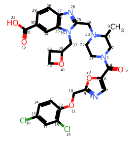 CC1CN(C(=O)c2cnc(COc3ccc(Cl)cc3Cl)o2)CCN1Cc1nc2ccc(C(=O)O)cc2n1CC1CCO1